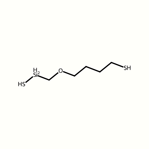 SCCCCOC[SiH2]S